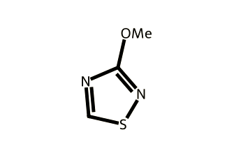 COc1ncsn1